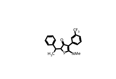 CNC1=C(c2cccc(C(F)(F)F)c2)C(=O)C(C(C)c2ccccc2)S1